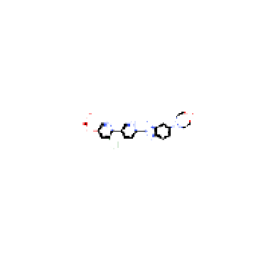 O=C(O)Oc1cnc(-c2ccc(-c3nc4ccc(N5CCOCC5)cc4[nH]3)nc2)c(Cl)c1